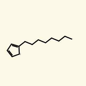 CCCCCCCCC1=CC=C[C]1